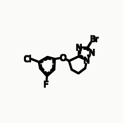 Fc1cc(Cl)cc(OC2CCCn3nc(Br)nc32)c1